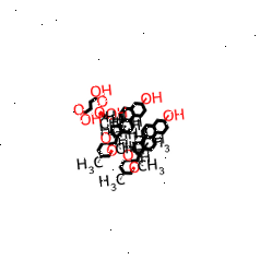 CC(=O)O.C[C@@H]1CC[C@@]2(OC1)O[C@H]1C[C@H]3[C@@H]4CCC5C[C@@H](O)CC[C@]5(C)[C@H]4CC[C@]3(C)[C@H]1[C@@H]2C.C[C@@H]1CC[C@@]2(OC1)O[C@H]1C[C@H]3[C@@H]4CCC5C[C@@H](O)CC[C@]5(C)[C@H]4CC[C@]3(C)[C@H]1[C@@H]2C.O=C(O)CCC(=O)O